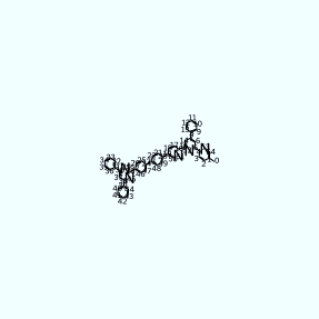 Cc1ccc(-c2cc(-c3ccccc3)cc(-c3ccc(-c4ccc(-c5ccc(-c6nc(-c7ccccc7)cc(-c7ccccc7)n6)cc5)cc4)cn3)n2)nc1